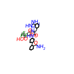 CS(=O)(=O)N[C@@H](Cc1cccc(C(=N)N)c1)C(=O)Nc1ccc(-c2ccccc2C(N)=O)cc1.O=C(O)C(F)(F)F